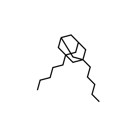 CCCCCC12CC3CC(C1)CC(CCCCC)(C3)C2